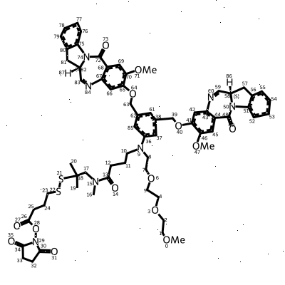 COCCOCCOCCN(CCCC(=O)N(C)CC(C)(C)SSCCCC(=O)ON1C(=O)CCC1=O)c1cc(COc2cc3c(cc2OC)C(=O)N2c4ccccc4C[C@H]2C=N3)cc(COc2cc3c(cc2OC)C(=O)N2c4ccccc4C[C@H]2C=N3)c1